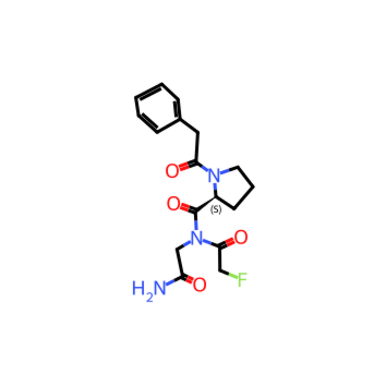 NC(=O)CN(C(=O)CF)C(=O)[C@@H]1CCCN1C(=O)Cc1ccccc1